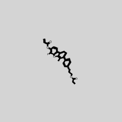 C=CC(=O)OCCCc1ccc(-c2ccc3c(oc4c(F)c(OC(=O)C=C)ccc43)c2C)cc1